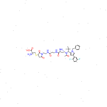 CC(=O)N(CCC(N)C(=O)NCCC(=O)NCCN1C(=O)CC(SC[C@H](N)C(=O)O)C1=O)C(c1cc(-c2cc(F)ccc2F)cn1Cc1ccccc1)C(C)(C)C